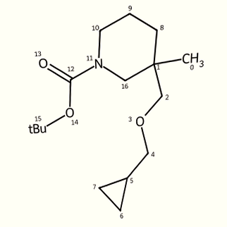 CC1(COCC2CC2)CCCN(C(=O)OC(C)(C)C)C1